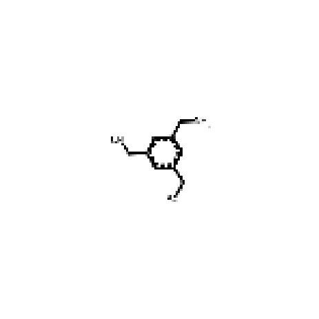 CC(=O)Cc1cc(CN)cc(CN)c1